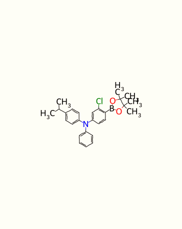 CC(C)c1ccc(N(c2ccccc2)c2ccc(B3OC(C)(C)C(C)(C)O3)c(Cl)c2)cc1